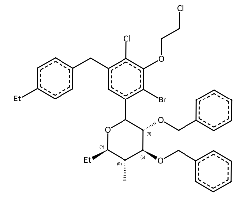 CCc1ccc(Cc2cc(C3O[C@H](CC)[C@@H](C)[C@H](OCc4ccccc4)[C@H]3OCc3ccccc3)c(Br)c(OCCCl)c2Cl)cc1